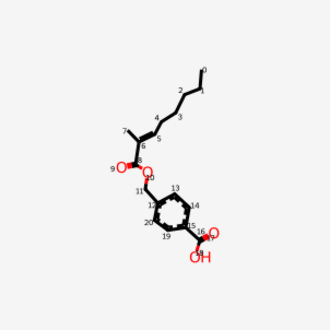 CCCCCC=C(C)C(=O)OCc1ccc(C(=O)O)cc1